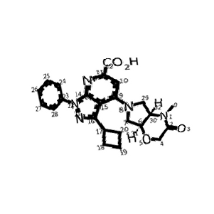 CN1C(=O)CO[C@H]2CN(c3cc(C(=O)O)nc4c3c(C3CCC3)nn4-c3ccccc3)C[C@@H]21